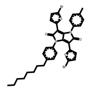 CCCCCCCCc1ccc(N2C(=O)C(c3ccc(Br)s3)=C3C2=C(c2ccc(Br)s2)C(=O)N3c2ccc(C)cc2)cc1